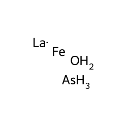 O.[AsH3].[Fe].[La]